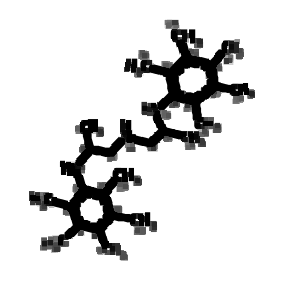 Cc1c(C)c(C)c(NC(C)CNCC(C)Nc2c(C)c(C)c(C)c(C)c2C)c(C)c1C